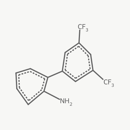 Nc1ccccc1-c1cc(C(F)(F)F)cc(C(F)(F)F)c1